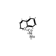 C1=Cc2ccccc2OC1.[Co].[Mo].[Ni]